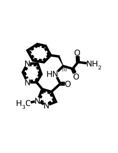 Cn1ncc(C(=O)N[C@@H](Cc2ccccc2)C(=O)C(N)=O)c1-c1ccncn1